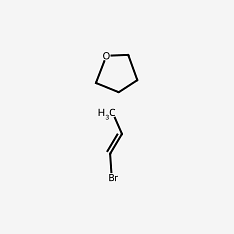 C1CCOC1.CC=CBr